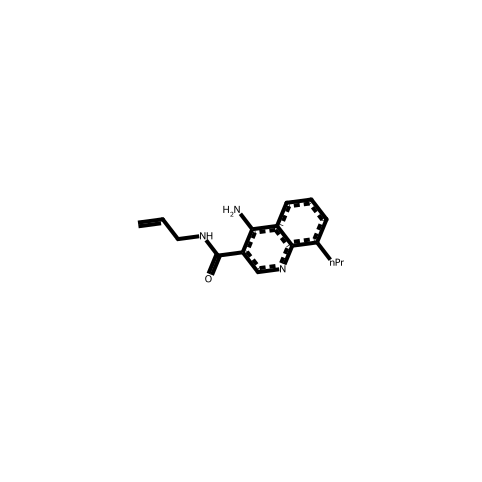 C=CCNC(=O)c1cnc2c(CCC)cccc2c1N